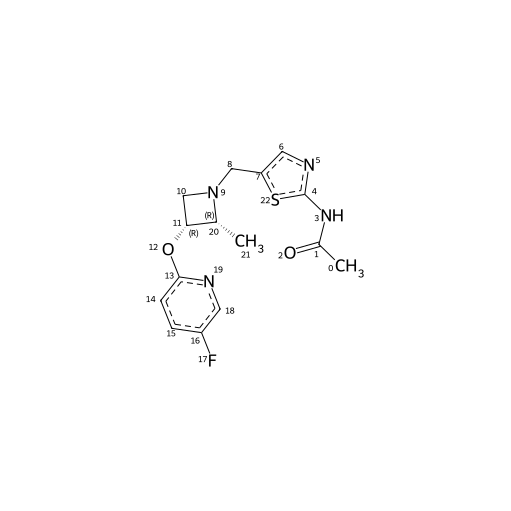 CC(=O)Nc1ncc(CN2C[C@@H](Oc3ccc(F)cn3)[C@H]2C)s1